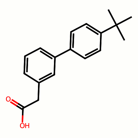 CC(C)(C)c1ccc(-c2cccc(CC(=O)O)c2)cc1